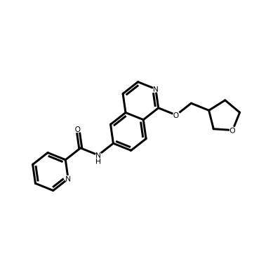 O=C(Nc1ccc2c(OCC3CCOC3)nccc2c1)c1ccccn1